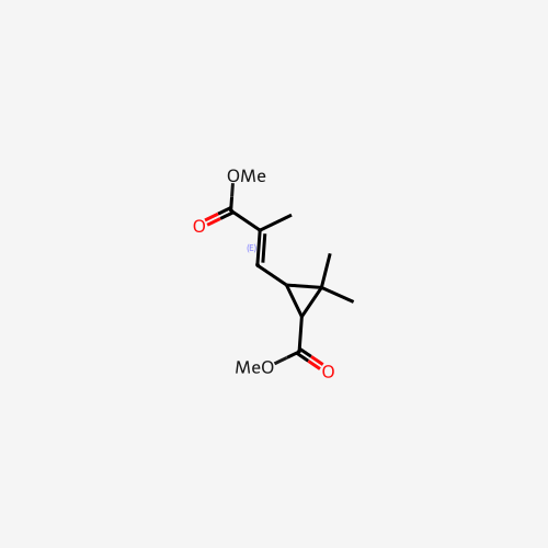 COC(=O)/C(C)=C/C1C(C(=O)OC)C1(C)C